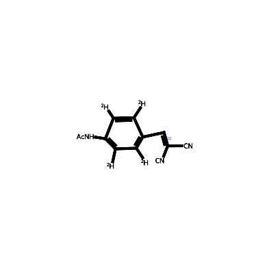 [2H]c1c([2H])c(NC(C)=O)c([2H])c([2H])c1/C=C(/C#N)[N+]#[C-]